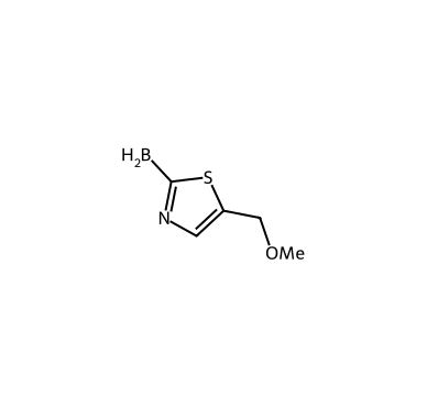 Bc1ncc(COC)s1